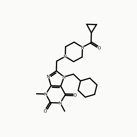 Cn1c(=O)c2c(nc(CN3CCN(C(=O)C4CC4)CC3)n2CC2CCCCC2)n(C)c1=O